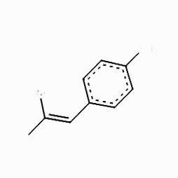 CCC(=Cc1ccc(C)cc1)[N+](=O)[O-]